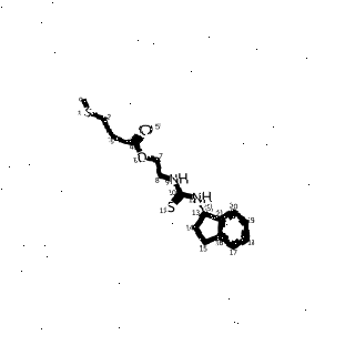 CSCCC(=O)OCCNC(=S)N[C@H]1CCc2ccccc21